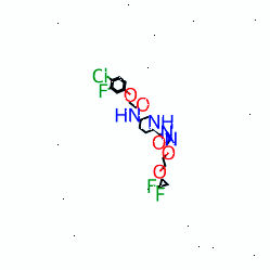 O=C(COc1ccc(Cl)c(F)c1)N[C@H]1CC[C@H](c2nnc(OCCOC3CC3(F)F)o2)NC1